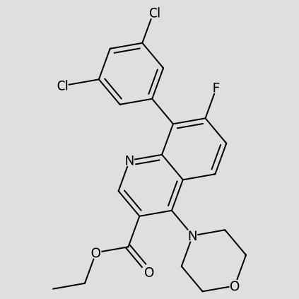 CCOC(=O)c1cnc2c(-c3cc(Cl)cc(Cl)c3)c(F)ccc2c1N1CCOCC1